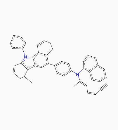 C#C/C=C\C=C(/C)N(c1ccc(-c2cc3c4c(n(-c5ccccc5)c3c3c2CCC=C3)C=CCC4C)cc1)c1cccc2ccccc12